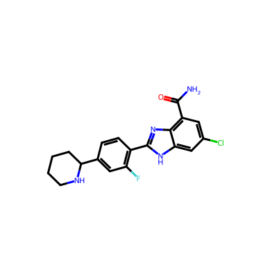 NC(=O)c1cc(Cl)cc2[nH]c(-c3ccc(C4CCCCN4)cc3F)nc12